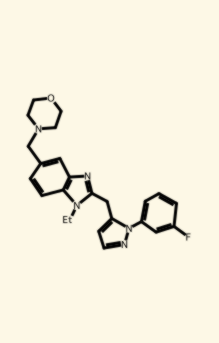 CCn1c(Cc2ccnn2-c2cccc(F)c2)nc2cc(CN3CCOCC3)ccc21